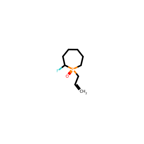 C=CCP1(=O)CCCCCC1F